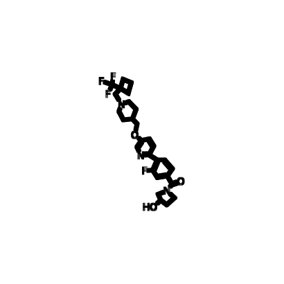 O=C(c1ccc(-c2ccc(OCC3CCN(CC4(C(F)(F)F)CCC4)CC3)cn2)c(F)c1)N1CCC(O)C1